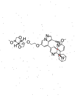 COc1ccc(CN2C3CC2CN(c2ccc(-c4cc(OCCO[C@@H]5CO[C@H]6[C@@H]5OC[C@H]6OC)cn5ncc(C#N)c45)cn2)C3)cn1